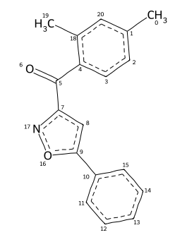 Cc1ccc(C(=O)c2cc(-c3ccccc3)on2)c(C)c1